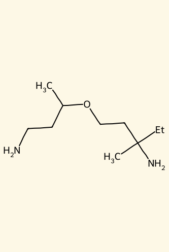 CCC(C)(N)CCOC(C)CCN